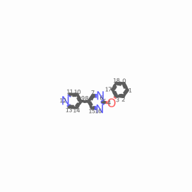 c1ccc(Oc2ncc(-c3ccncc3)cn2)cc1